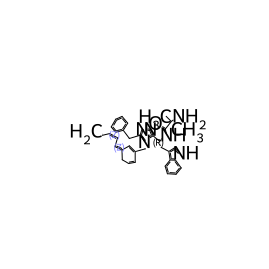 C=C/C=C\C=C1/C=C(Cn2c(Cc3ccccc3)nnc2[C@@H](Cc2c[nH]c3ccccc23)NC(=O)C(C)(C)N)C=CC1